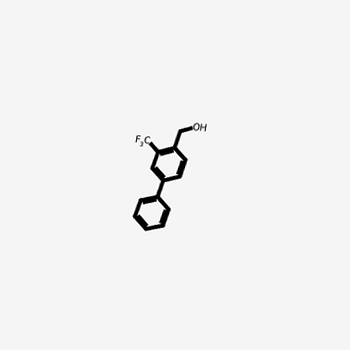 OCc1ccc(-c2ccccc2)cc1C(F)(F)F